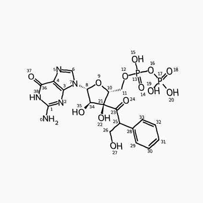 Nc1nc2c(ncn2[C@@H]2O[C@H](COP(=O)(O)OP(=O)(O)O)[C@](O)(C(=O)C(CO)c3ccccc3)[C@H]2O)c(=O)[nH]1